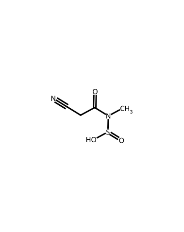 CN(C(=O)CC#N)S(=O)O